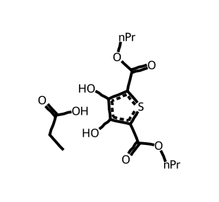 CCC(=O)O.CCCOC(=O)c1sc(C(=O)OCCC)c(O)c1O